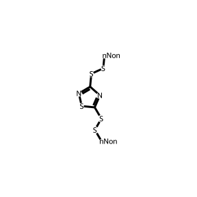 CCCCCCCCCSSc1nsc(SSCCCCCCCCC)n1